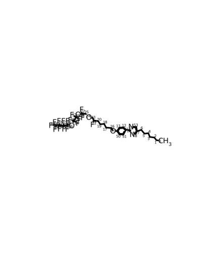 CCCCCCCc1cnc(-c2ccc(OCCCCCC(F)COCC(F)(F)OC(F)(F)C(F)(F)OC(F)(F)C(F)(F)C(F)(F)C(F)(F)F)cc2)nc1